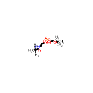 CC(C)(C)OCCOP(=O)(O)OCCCNC(=O)C(C)(C)C